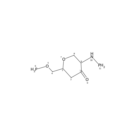 O=C1CC(COP)OCC1NP